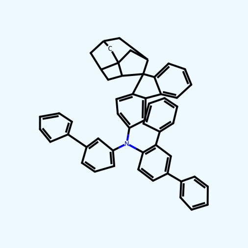 c1ccc(-c2cccc(N(c3ccc4c(c3)-c3ccccc3C43C4CC5CC6CC3C6(C5)C4)c3ccc(-c4ccccc4)cc3-c3ccccc3)c2)cc1